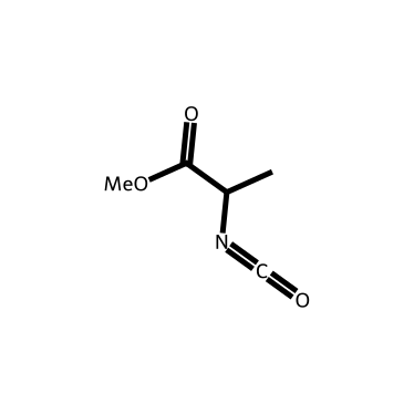 COC(=O)C(C)N=C=O